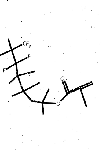 C=C(C)C(=O)OC(C)(C)CC(C)(C)C(C)(C)C(F)(F)C(C)(C)C(F)(F)F